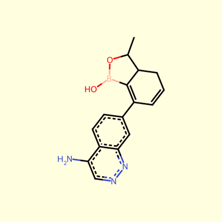 CC1OB(O)C2=C(c3ccc4c(N)cnnc4c3)C=CCC21